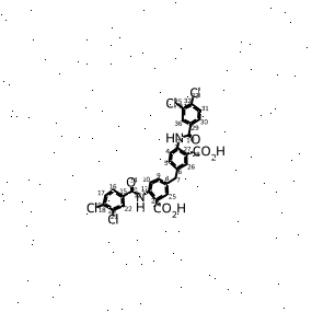 O=C(Nc1ccc(Cc2ccc(NC(=O)c3ccc(Cl)c(Cl)c3)c(C(=O)O)c2)cc1C(=O)O)c1ccc(Cl)c(Cl)c1